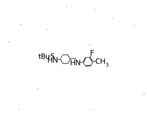 Cc1ccc(NCC2CCC(NSC(C)(C)C)CC2)cc1F